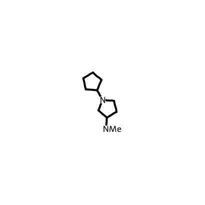 CNC1CCN(C2CCCC2)C1